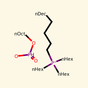 CCCCCCCCCCCCCC[P+](CCCCCC)(CCCCCC)CCCCCC.CCCCCCCCO[PH](=O)[O-]